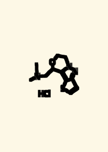 CN(C)CC1OCCn2nc3ccsc3c21.Cl